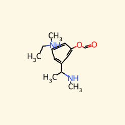 CCNC.CNC(C)c1cccc(OC=O)c1